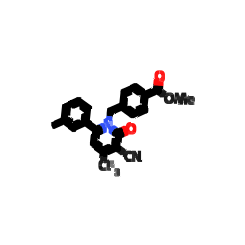 COC(=O)c1ccc(Cn2c(-c3cccc(C)c3)cc(C(F)(F)F)c(C#N)c2=O)cc1